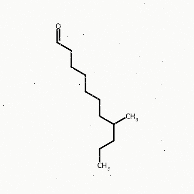 CCCC(C)CCCCCCC=O